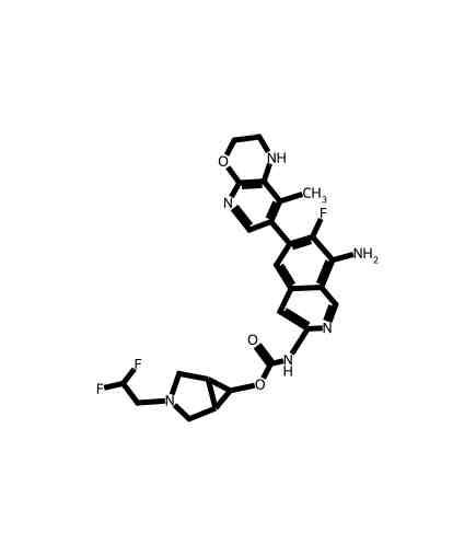 Cc1c(-c2cc3cc(NC(=O)OC4C5CN(CC(F)F)CC54)ncc3c(N)c2F)cnc2c1NCCO2